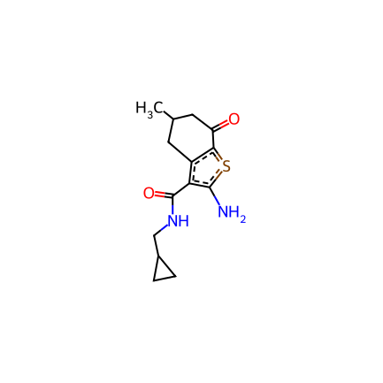 CC1CC(=O)c2sc(N)c(C(=O)NCC3CC3)c2C1